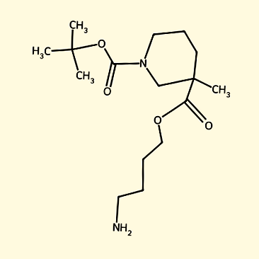 CC(C)(C)OC(=O)N1CCCC(C)(C(=O)OCCCCN)C1